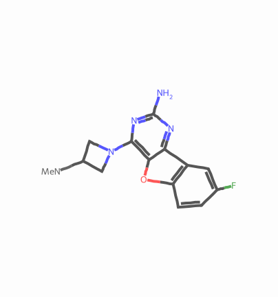 CNC1CN(c2nc(N)nc3c2oc2ccc(F)cc23)C1